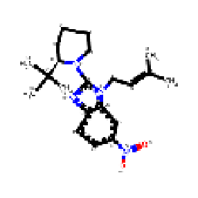 CC(C)=CCn1c(N2CCC[CH][C@@H]2C(C)(C)C)nc2ccc([N+](=O)[O-])cc21